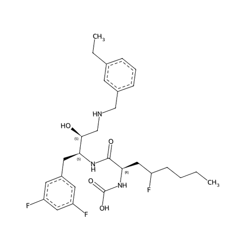 CCCCC(F)C[C@@H](NC(=O)O)C(=O)N[C@@H](Cc1cc(F)cc(F)c1)[C@@H](O)CNCc1cccc(CC)c1